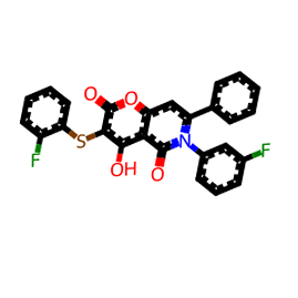 O=c1oc2cc(-c3ccccc3)n(-c3cccc(F)c3)c(=O)c2c(O)c1Sc1ccccc1F